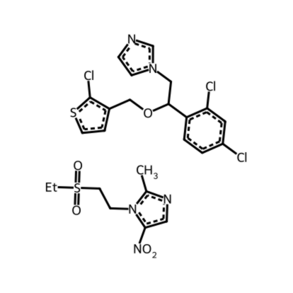 CCS(=O)(=O)CCn1c([N+](=O)[O-])cnc1C.Clc1ccc(C(Cn2ccnc2)OCc2ccsc2Cl)c(Cl)c1